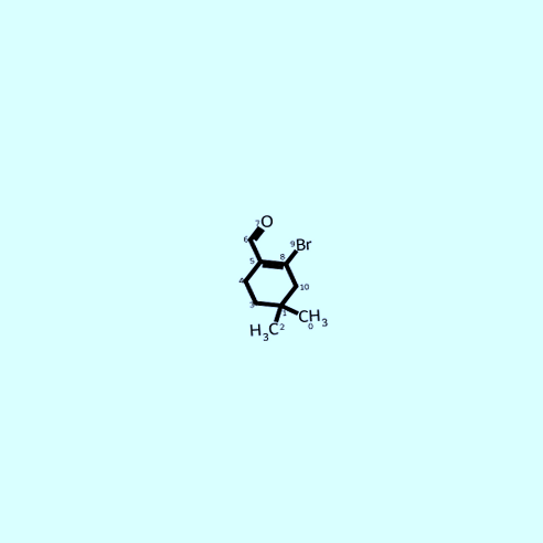 CC1(C)CCC(C=O)=C(Br)C1